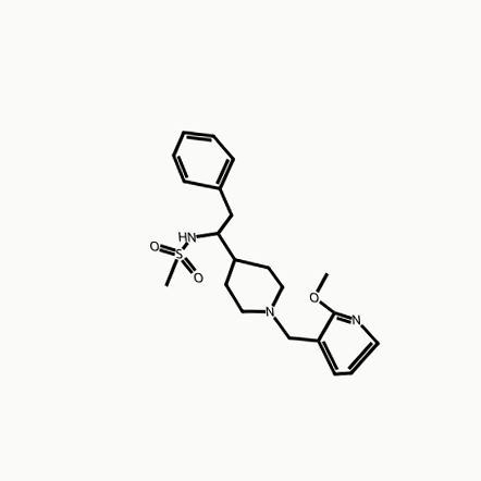 COc1ncccc1CN1CCC(C(Cc2ccccc2)NS(C)(=O)=O)CC1